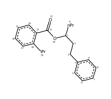 CCCC(CCc1ccccc1)OC(=O)c1ccccc1C(C)C